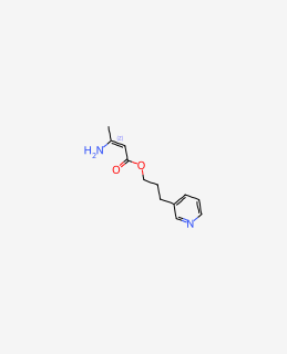 C/C(N)=C/C(=O)OCCCc1cccnc1